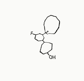 OC1CCCC(C2CCC(F)CC(C3CCCCCCCCC3)C2)CCC1